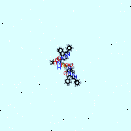 CC(C)(C)OC(=O)N[C@@H](CSSC[C@@H](C(=O)N1CCn2nc(-c3ccccc3)cc2C1CC1CCCCC1)N(C(=O)O)C(C)(C)C)C(=O)N1CCn2nc(-c3ccccc3)cc2C1CC1CCCCC1